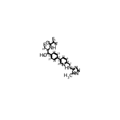 Cn1nnnc1NCc1ccc(-c2ccc([C@@H](O)[C@@H](CF)NC(=O)C(F)F)cc2)cn1